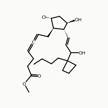 CCCCC1(C(O)C=C[C@@H]2[C@@H](CC=C=CCCC(=O)OC)[C@H](Cl)C[C@H]2O)CCC1